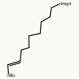 CCCCC=CCCCCCCCCCCCCCC